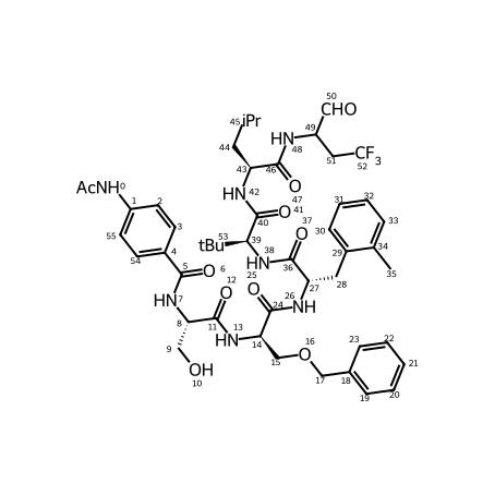 CC(=O)Nc1ccc(C(=O)N[C@@H](CO)C(=O)N[C@H](COCc2ccccc2)C(=O)N[C@@H](Cc2ccccc2C)C(=O)N[C@H](C(=O)N[C@@H](CC(C)C)C(=O)NC(C=O)CC(F)(F)F)C(C)(C)C)cc1